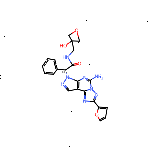 Nc1nc2c(cnn2[C@@H](C(=O)NCC2(O)COC2)c2ccccc2)c2nc(-c3ccco3)nn12